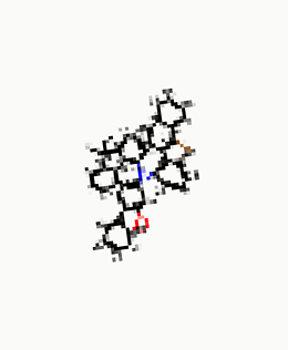 CC1(C)c2ccccc2-c2c(N(c3ccc4c(c3)oc3ccccc34)c3cccc4sc5c6ccccc6ccc5c34)cccc21